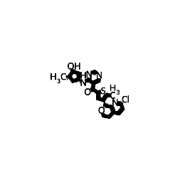 Cc1sc(C(=O)c2cncnc2N[C@@H]2C[C@@H](C)[C@H](O)C2)cc1[C@@H]1OCCc2ccc(Cl)nc21